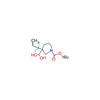 C=CC(F)(F)C1(C(O)O)CCCN(C(=O)OC(C)(C)C)C1